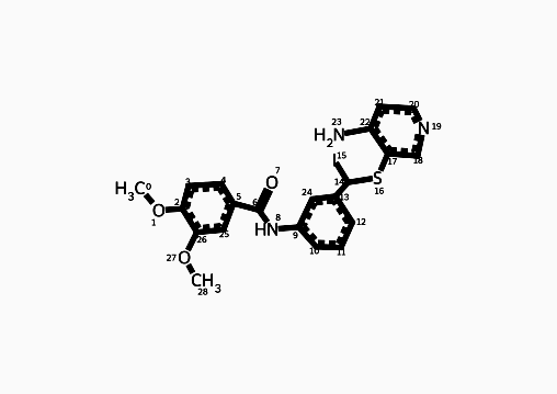 COc1ccc(C(=O)Nc2cccc(C(I)Sc3cnccc3N)c2)cc1OC